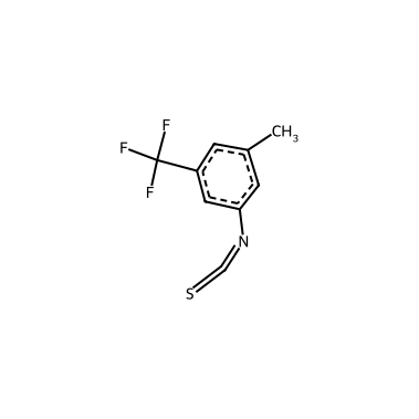 Cc1cc(N=C=S)cc(C(F)(F)F)c1